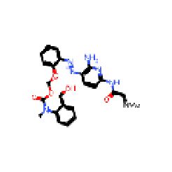 CNCC(=O)Nc1ccc(/N=N/c2ccccc2OCOC(=O)N(C)c2ccccc2CO)c(N)n1